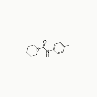 Cc1ccc(NC(=O)N2CCCCC2)cc1